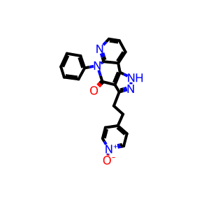 O=c1c2c(CCc3cc[n+]([O-])cc3)n[nH]c2c2cccnc2n1-c1ccccc1